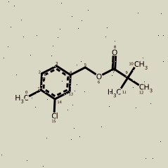 Cc1ccc(COC(=O)C(C)(C)C)cc1Cl